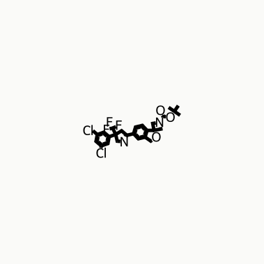 CC(C)(C)OC(=O)N1CC2(C1)OCc1cc(C3=NCC(c4cc(Cl)cc(Cl)c4)(C(F)(F)F)C3)ccc12